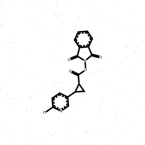 O=C(ON1C(=O)c2ccccc2C1=O)C1CC1c1ccc(Cl)nc1